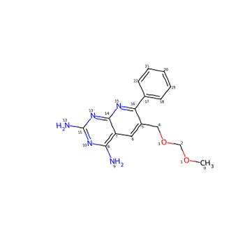 COCOCc1cc2c(N)nc(N)nc2nc1-c1ccccc1